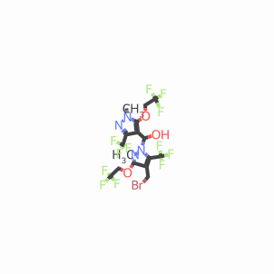 CN1C(OCC(F)(F)F)C(CBr)=C(C(F)(F)F)N1C(O)c1c(C(F)(F)F)nn(C)c1OCC(F)(F)F